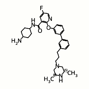 C[C@@H]1CN(CCCc2cccc(-c3cccc(Oc4ncc(F)cc4C(=O)NC4CCC(N)CC4)c3)c2)C[C@H](C)N1